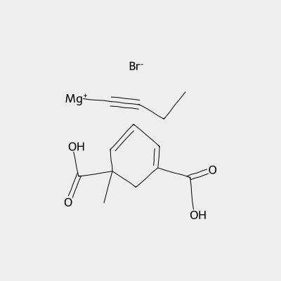 CC1(C(=O)O)C=CC=C(C(=O)O)C1.CCC#[C][Mg+].[Br-]